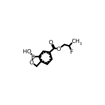 CC(F)COC(=O)c1ccc2c(c1)B(O)OC2